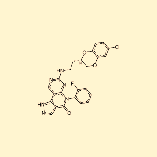 O=c1c2cn[nH]c2c2cnc(NCC[C@H]3COc4cc(Cl)ccc4O3)nc2n1-c1ccccc1F